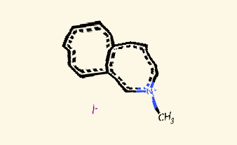 C[n+]1ccc2ccccc2c1.[I-]